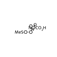 CSc1ccc(-c2cccc(-n3cc(C(=O)O)c(=O)c4cccnc43)c2)cc1